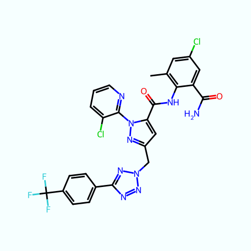 Cc1cc(Cl)cc(C(N)=O)c1NC(=O)c1cc(Cn2nnc(-c3ccc(C(F)(F)F)cc3)n2)nn1-c1ncccc1Cl